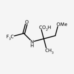 COCC(C)(NC(=O)C(F)(F)F)C(=O)O